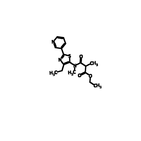 CCOC(=O)C(C)C(=O)N(C)c1sc(-c2cccnc2)nc1CC